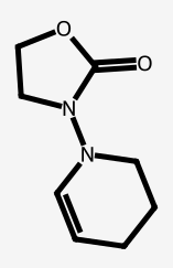 O=C1OCCN1N1C=CCCC1